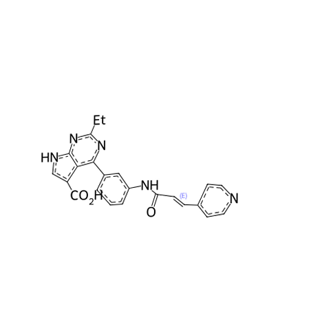 CCc1nc(-c2cccc(NC(=O)/C=C/c3ccncc3)c2)c2c(C(=O)O)c[nH]c2n1